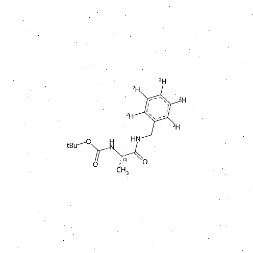 [2H]c1c([2H])c([2H])c(CNC(=O)[C@H](C)NC(=O)OC(C)(C)C)c([2H])c1[2H]